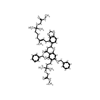 COC(=O)COC(C)(C)CCC/C(C)=C/Cc1c(C2CC(=O)c3c(cc(OCc4ccccc4)c(CCC(C)(C)OCC(=O)OC)c3OCc3ccccc3)O2)ccc2c1OCO2